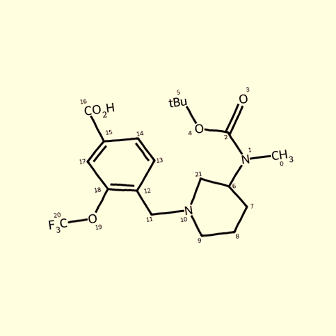 CN(C(=O)OC(C)(C)C)C1CCCN(Cc2ccc(C(=O)O)cc2OC(F)(F)F)C1